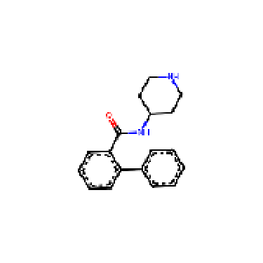 O=C(NC1CCNCC1)c1ccccc1-c1ccccc1